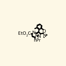 CCCc1cc(C(=O)OCC)nc2c(-c3c(C)cccc3C)c(C(=O)N(C)C)nn12